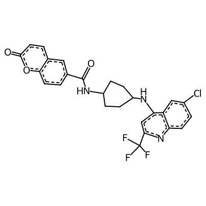 O=C(NC1CCC(Nc2cc(C(F)(F)F)nc3ccc(Cl)cc23)CC1)c1ccc2oc(=O)ccc2c1